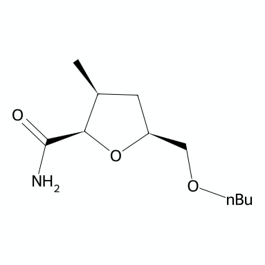 CCCCOC[C@@H]1C[C@H](C)[C@H](C(N)=O)O1